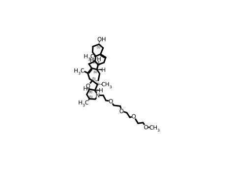 COCCOCCOCCOCCN1C[C@@H](C)C[C@H]2O[C@]3(CC[C@@H]4C(=C(C)C3)C[C@H]3[C@H]4CC=C4C[C@@H](O)CCC43C)[C@H](C)[C@@H]21